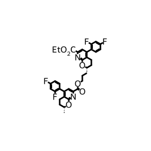 CCOC(=O)c1cc(-c2ccc(F)cc2F)c2c(n1)O[C@@H](CCCOC(=O)c1cc(-c3ccc(F)cc3F)c3c(n1)O[C@H](C)CC3)CC2